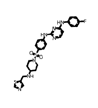 O=S(=O)(c1ccc(Nc2nccc(Nc3ccc(F)cc3)n2)cc1)N1CCC(NCc2cncs2)CC1